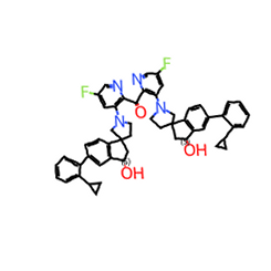 O=C(c1ncc(F)cc1N1CCC2(C[C@H](O)c3cc(-c4ccccc4C4CC4)ccc32)C1)c1ncc(F)cc1N1CCC2(C[C@H](O)c3cc(-c4ccccc4C4CC4)ccc32)C1